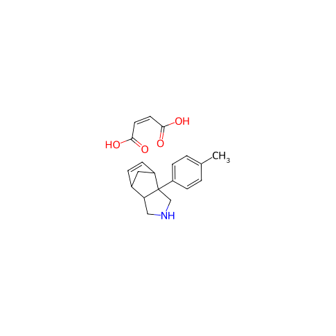 Cc1ccc(C23CNCC2C2C=CC3C2)cc1.O=C(O)/C=C\C(=O)O